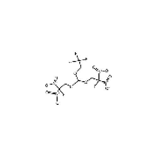 O=[N+]([O-])C(F)(COC(OCC(F)(F)F)OCC(F)([N+](=O)[O-])[N+](=O)[O-])[N+](=O)[O-]